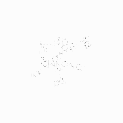 CCO[Si](CCCNC(=O)N(c1ccc(N=Nc2ccccc2)cc1)c1cc(N=Nc2cc(S(=O)(=O)NCCC[Si](OCC)(OCC)OCC)c3cccc(S(=O)(=O)NCCC[Si](OCC)(OCC)OCC)c3c2)ccc1Nc1nc(N)nc(OCC(O)(F)F)n1)(OCC)OCC